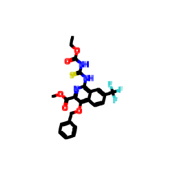 CCOC(=O)NC(=S)Nc1nc(C(=O)OC)c(OCc2ccccc2)c2ccc(C(F)(F)F)cc12